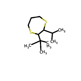 CC(C)C1SCCCSC1C(C)(C)C